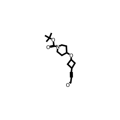 CC(C)(C)OC(=O)N1CCC(OC2CC(C#CC=O)C2)CC1